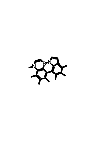 Cc1c(C)c2c3c(c1C)N(C)C=CB3n1ccc3c(C)c(C)c(C)c-2c31